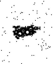 C=C(C)[C@@H]1CC[C@]2(CC)CC[C@]3(C)[C@H](CC[C@@H]4[C@@]5(C)CC[C@H](O)C(C)(C)[C@@H]5CC[C@]43C)[C@@H]12